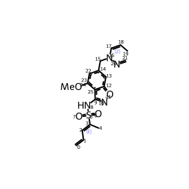 C=C/C=C(\C)S(=O)(=O)Nc1noc2cc(CN(/C=C\C)N=C)cc(OC)c12